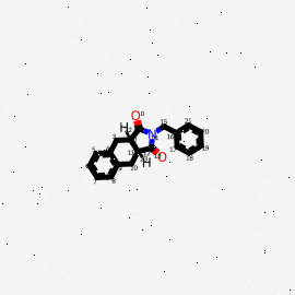 O=C1[C@H]2Cc3ccccc3C[C@H]2C(=O)N1Cc1ccccc1